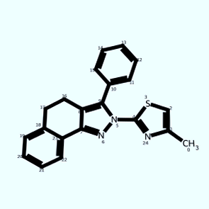 Cc1csc(-n2nc3c(c2-c2ccccc2)CCc2ccccc2-3)n1